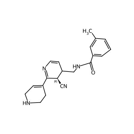 Cc1cccc(C(=O)NCC2C=CN=C(C3=CCNCC3)[C@@H]2C#N)c1